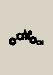 C[C@@H](C(=O)Nc1ccc(C#N)cc1)[C@H]1CC[C@@H](c2ccccc2)CC1